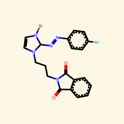 O=C1c2ccccc2C(=O)N1CCCN1C=CN(Br)C1/N=N/c1ccc(F)cc1